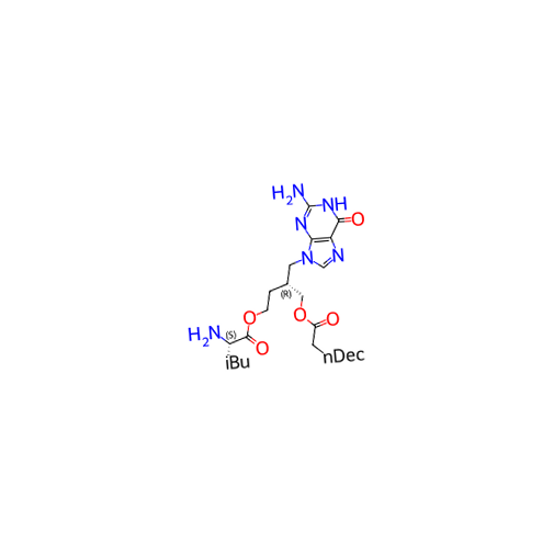 CCCCCCCCCCCC(=O)OC[C@H](CCOC(=O)[C@@H](N)C(C)CC)Cn1cnc2c(=O)[nH]c(N)nc21